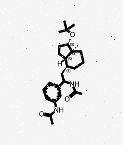 CC(=O)Nc1cccc(C(C[C@@H]2CCC[C@]3(C)[C@@H](OC(C)(C)C)CC[C@@H]23)NC(C)=O)c1